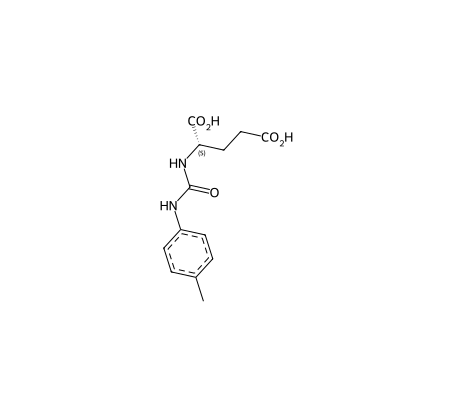 Cc1ccc(NC(=O)N[C@@H](CCC(=O)O)C(=O)O)cc1